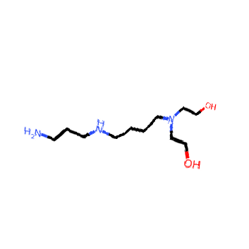 NCCCNCCCCN(CCO)CCO